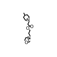 CC1CCN(CCC(=O)OCCCN2CCOCC2)CC1